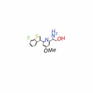 COc1cc(-c2csc3c(F)cccc23)nc(C(N)CO)c1